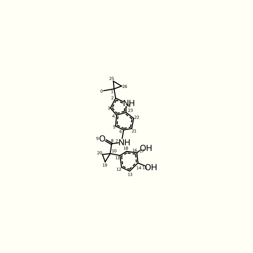 CC1(c2cc3cc(NC(=O)C4(c5ccc(O)c(O)c5)CC4)ccc3[nH]2)CC1